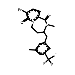 Cc1cc(CC2CCn3c(ccc(Br)c3=O)C(=O)N2C)cc(C(F)(F)F)c1